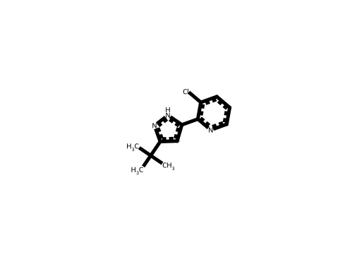 CC(C)(C)c1[c]c(-c2ncccc2Cl)[nH]n1